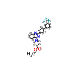 CCOC(=O)C1CCN(c2nc(-c3ccc(-c4cccc(C(F)(F)F)c4)cc3)nc3ccccc23)CC1